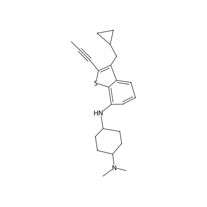 CC#Cc1sc2c(NC3CCC(N(C)C)CC3)cccc2c1CC1CC1